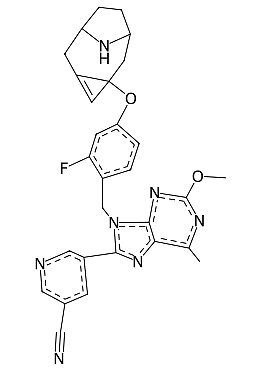 COc1nc(C)c2nc(-c3cncc(C#N)c3)n(Cc3ccc(OC45C=C4CC4CCC(C5)N4)cc3F)c2n1